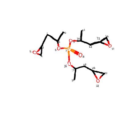 CC(CC1CO1)OP(=O)(OC(C)CC1CO1)OC(C)CC1CO1